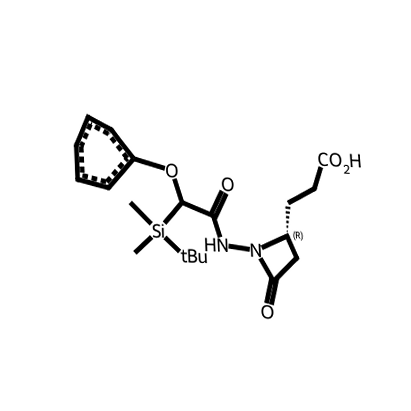 CC(C)(C)[Si](C)(C)C(Oc1ccccc1)C(=O)NN1C(=O)C[C@H]1CCC(=O)O